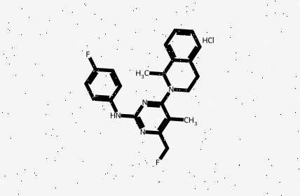 Cc1c(CF)nc(Nc2ccc(F)cc2)nc1N1CCc2ccccc2C1C.Cl